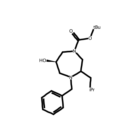 CC(C)CC1CN(C(=O)OC(C)(C)C)C[C@H](O)CN1Cc1ccccc1